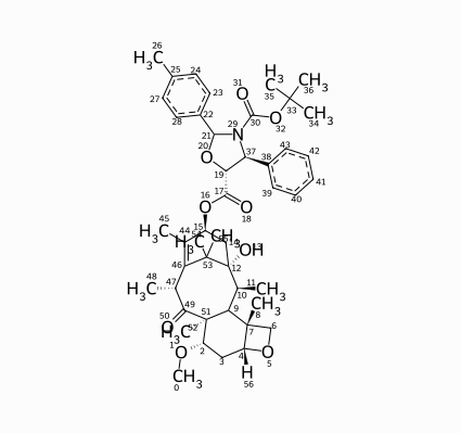 CO[C@H]1C[C@H]2OC[C@@]2(C)C2[C@H](C)[C@]3(O)C[C@H](OC(=O)[C@@H]4OC(c5ccc(C)cc5)N(C(=O)OC(C)(C)C)[C@H]4c4ccccc4)C(C)=C([C@@H](C)C(=O)[C@@]21C)C3(C)C